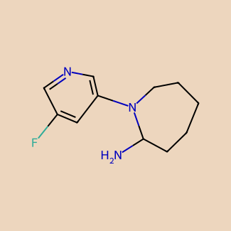 NC1CCCCCN1c1cncc(F)c1